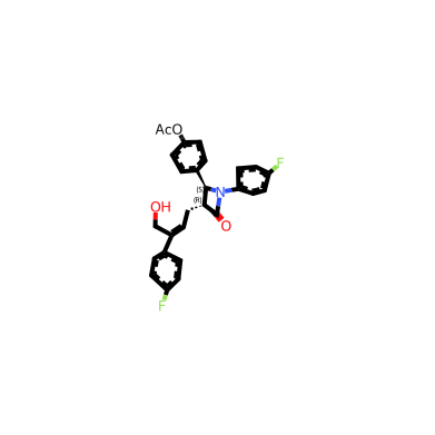 CC(=O)Oc1ccc([C@@H]2[C@@H](CC=C(CO)c3ccc(F)cc3)C(=O)N2c2ccc(F)cc2)cc1